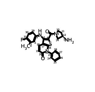 Cc1cc(Nc2c(C(=O)N3CC[C@@H](N)C3)sc3c2ccc(=O)n3-c2ccccc2)ccc1F